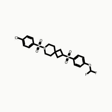 O=S(=O)(c1ccc(OC(F)F)cc1)C1CC2(CCN(S(=O)(=O)c3ccc(Cl)cc3)CC2)C1